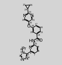 CC(C)n1cnnc1-c1cccc(NC(=O)c2cccc(Oc3cnc(C4CC4)nc3)c2)n1